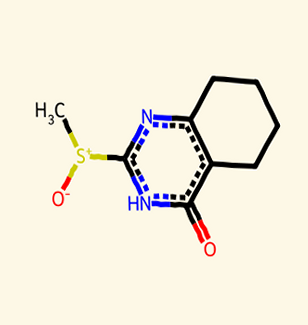 C[S+]([O-])c1nc2c(c(=O)[nH]1)CCCC2